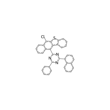 Clc1c2ccccc2c(-c2nc(-c3ccccc3)nc(-c3cccc4ccccc34)n2)c2c1sc1ccccc12